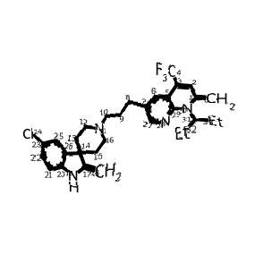 C=C1C=C(C(F)(F)F)c2cc(CCCN3CCC4(CC3)C(=C)Nc3ccc(Cl)cc34)cnc2N1C(CC)CC